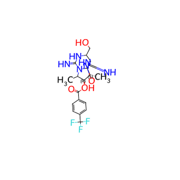 CC1[C@H](OC(=O)c2ccc(C(F)(F)F)cc2)[C@@H](C)C23C(NC(=N)N2O)C(CO)NC(=N)N13